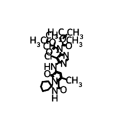 Cc1cc(Nc2ncnc(N(C(=O)OC(C)(C)C)C(=O)OC(C)(C)C)c2Cl)c(=O)n2c1C(=O)NC21CCCCC1